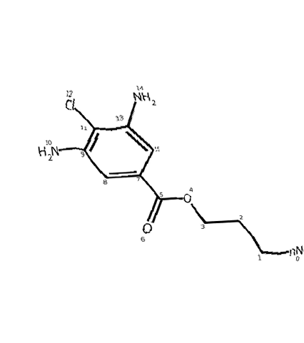 CCCCCCCCCCCCOC(=O)c1cc(N)c(Cl)c(N)c1